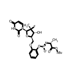 CCCCOC(=O)[C@@H](C)/N=[P+](\[O-])Oc1ccccc1OC[C@H]1O[C@@H](n2ccc(=O)[nH]c2=O)[C@](C)(F)[C@@H]1O